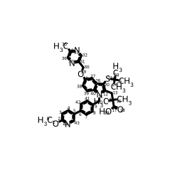 COc1ccc(-c2ccc(Cn3c(CC(C)(C)C(=O)O)c(SC(C)(C)C)c4cc(OCc5cnc(C)cn5)ccc43)cc2)cn1